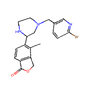 Cc1c(C2CN(Cc3ccc(Br)nc3)CCN2)ccc2c1COC2=O